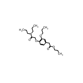 CCCOC(=O)Cc1ccc(OCC(=O)N(CCC)CCC)c(OCCC)c1